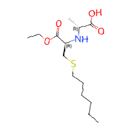 CCCCCCSC[C@H](N[C@H](C)C(=O)O)C(=O)OCC